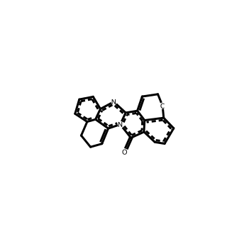 O=c1c2cccc3c2c(c2nc4cccc5c4c(n12)=CCC5)=CCC3